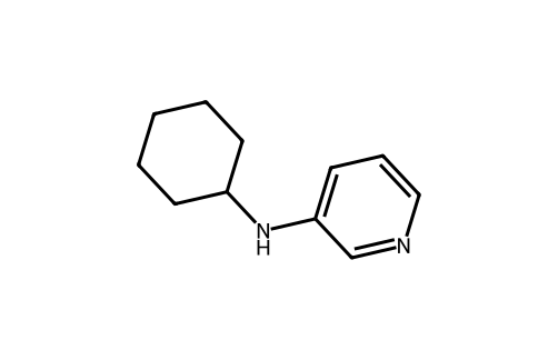 c1cncc(NC2CCCCC2)c1